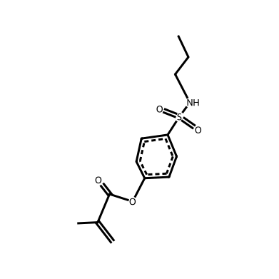 C=C(C)C(=O)Oc1ccc(S(=O)(=O)NCCC)cc1